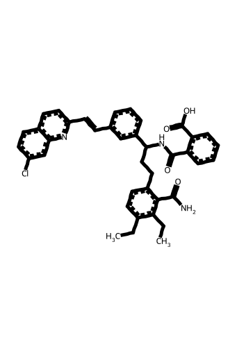 CCc1ccc(CCC(NC(=O)c2ccccc2C(=O)O)c2cccc(C=Cc3ccc4ccc(Cl)cc4n3)c2)c(C(N)=O)c1CC